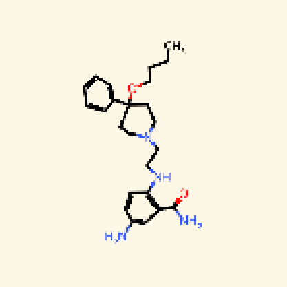 CCCCOC1(c2ccccc2)CCN(CCNc2ccc(N)cc2C(N)=O)CC1